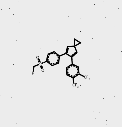 O=S(=O)(CF)c1ccc(C2=CC3(C=C2c2ccc(C(F)(F)F)c(C(F)(F)F)c2)CC3)cc1